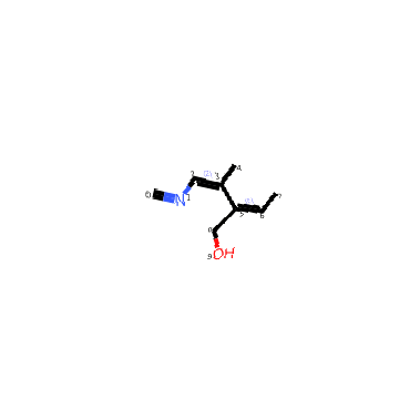 C=N/C=C(C)\C(=C/C)CO